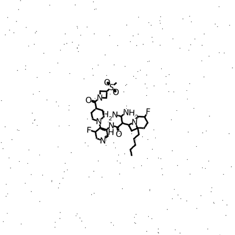 CCCCCC12CCC(F)CN1C(C(C(=O)NC1=C(N3CCC(C(=O)N4CC(S(C)(=O)=O)C4)CC3)C(F)CN=C1)C(N)N)C2